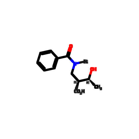 CCN(C[C@H](C(=O)O)[C@@H](C)O)C(=O)c1ccccc1